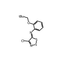 CC(C)(C)COc1ccccc1N=c1ssnc1Cl